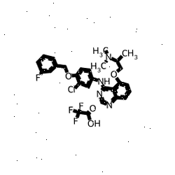 CC(COc1cccc2ncnc(Nc3ccc(OCc4cccc(F)c4)c(Cl)c3)c12)N(C)C.O=C(O)C(F)(F)F